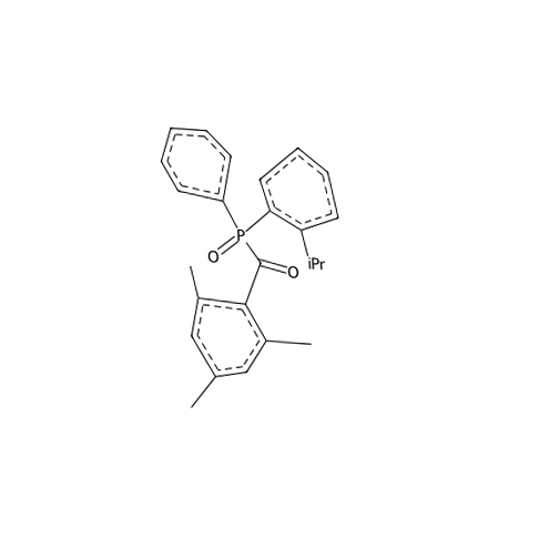 Cc1cc(C)c(C(=O)P(=O)(c2ccccc2)c2ccccc2C(C)C)c(C)c1